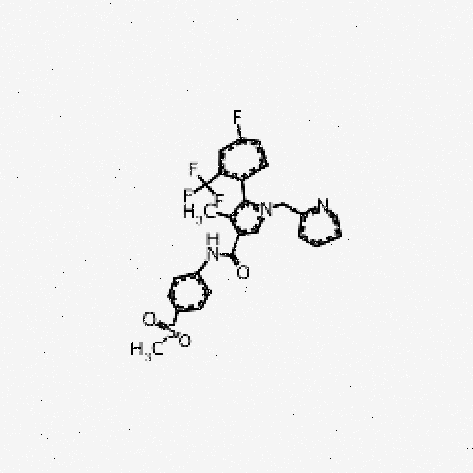 Cc1c(C(=O)Nc2ccc(S(C)(=O)=O)cc2)cn(Cc2ccccn2)c1-c1ccc(F)cc1C(F)(F)F